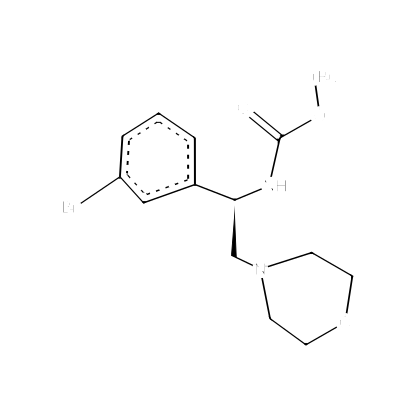 CC(C)(C)OC(=O)N[C@@H](CN1CCOCC1)c1cccc(Br)c1